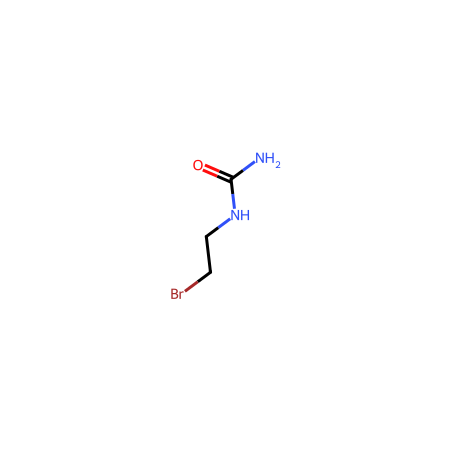 NC(=O)NCCBr